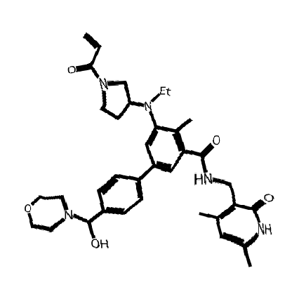 C=CC(=O)N1CCC(N(CC)c2cc(-c3ccc(C(O)N4CCOCC4)cc3)cc(C(=O)NCc3c(C)cc(C)[nH]c3=O)c2C)C1